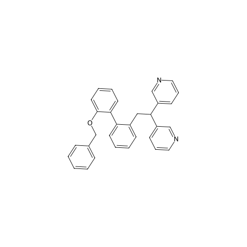 c1ccc(COc2ccccc2-c2ccccc2CC(c2cccnc2)c2cccnc2)cc1